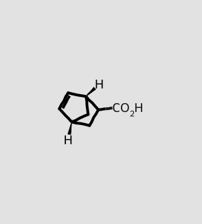 O=C(O)C1C[C@@H]2C=C[C@H]1C2